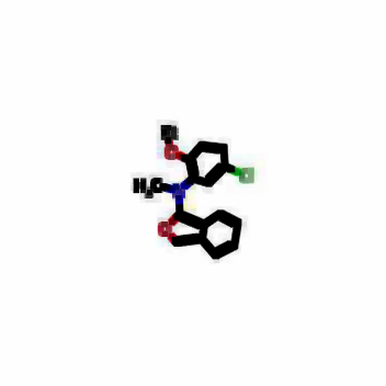 CCOc1ccc(Cl)cc1N(C)c1occ2ccccc12